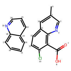 Cc1cnc2c(C(=O)O)c(Cl)ccc2c1.c1ccc2ncccc2c1